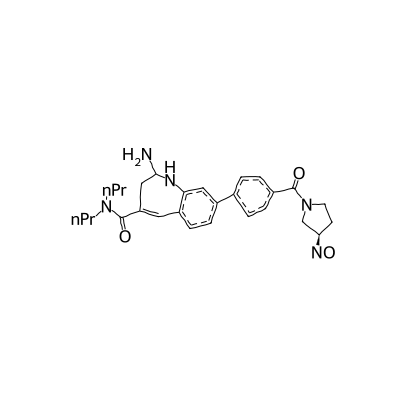 CCCN(CCC)C(=O)C1=Cc2ccc(-c3ccc(C(=O)N4CC[C@@H](N=O)C4)cc3)cc2NC(N)C1